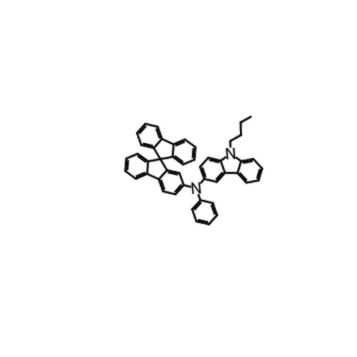 CCCCn1c2ccccc2c2cc(N(c3ccccc3)c3ccc4c(c3)C3(c5ccccc5-c5ccccc53)c3ccccc3-4)ccc21